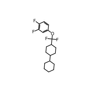 Fc1ccc(OC(F)(F)C2CCC(C3CCCCC3)CC2)cc1F